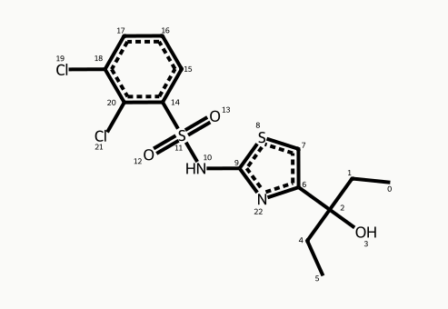 CCC(O)(CC)c1csc(NS(=O)(=O)c2cccc(Cl)c2Cl)n1